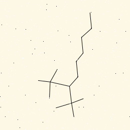 CCCCCCC(C(C)(C)C)C(C)(C)C